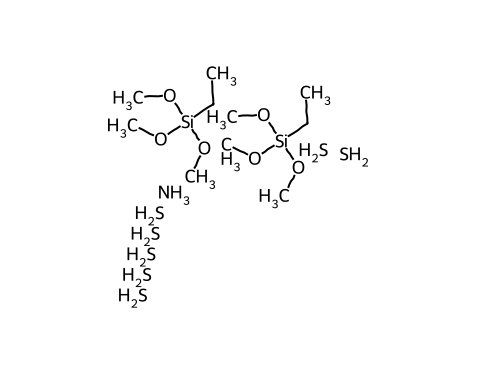 CC[Si](OC)(OC)OC.CC[Si](OC)(OC)OC.N.S.S.S.S.S.S.S